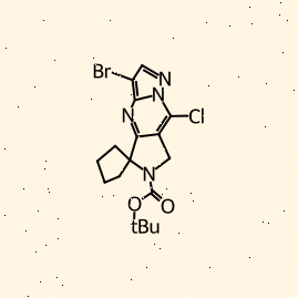 CC(C)(C)OC(=O)N1Cc2c(nc3c(Br)cnn3c2Cl)C12CCCC2